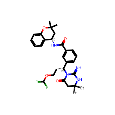 CCC1(CC)CC(=O)N([C@H](CCOC(F)F)c2cccc(C(=O)N[C@H]3CC(C)(C)Oc4ccccc43)c2)C(=N)N1